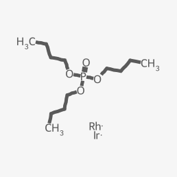 CCCCOP(=O)(OCCCC)OCCCC.[Ir].[Rh]